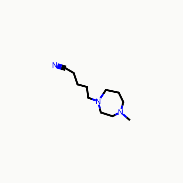 CN1CCCN(CCCCC#N)CC1